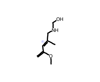 C=C(/C=C(\C)CNCO)OC